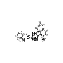 N#Cc1ccccc1CSc1nnc2c3c(Br)cccc3n(CC3CC3)c2n1